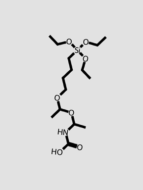 CCO[Si](CCCCOC(C)OC(C)NC(=O)O)(OCC)OCC